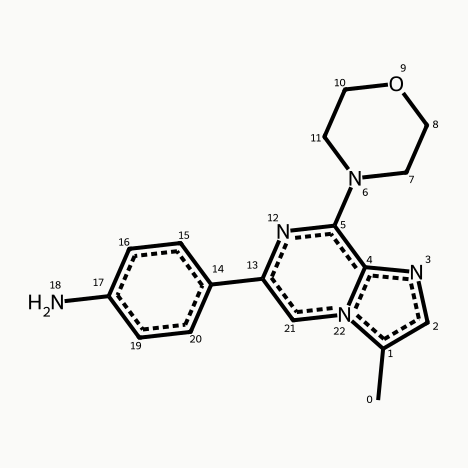 Cc1cnc2c(N3CCOCC3)nc(-c3ccc(N)cc3)cn12